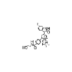 CC1(C)OC(=C2C(=O)Nc3cc(F)ccc32)C=C1c1ccc(C(=O)NCCO)cc1